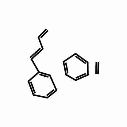 C=C.C=CC=Cc1ccccc1.c1ccccc1